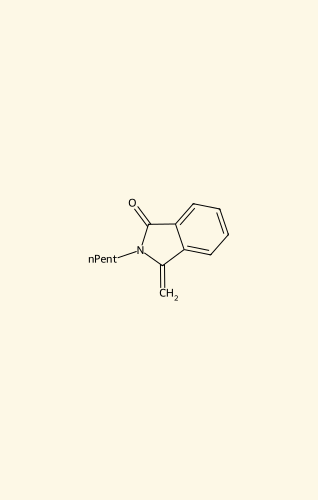 C=C1c2ccccc2C(=O)N1CCCCC